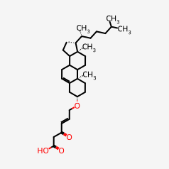 CC(C)CCC[C@@H](C)[C@H]1CCC2C3CC=C4C[C@@H](OC/C=C/C(=O)CC(=O)O)CC[C@]4(C)C3CC[C@@]21C